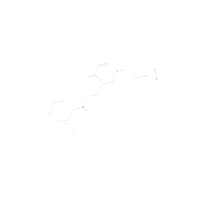 CC[C@@H]1CNCCN1C(=O)OCc1cc(OCC2CC2)ccc1F.Cl